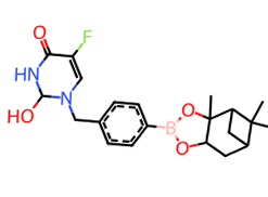 CC1(C)C2CC3OB(c4ccc(CN5C=C(F)C(=O)NC5O)cc4)OC3(C)C1C2